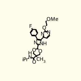 COCCOc1nccc(-c2[nH]c(C3OCC(C)(C(=O)NC(C)C)CO3)nc2-c2ccc(F)cc2)n1